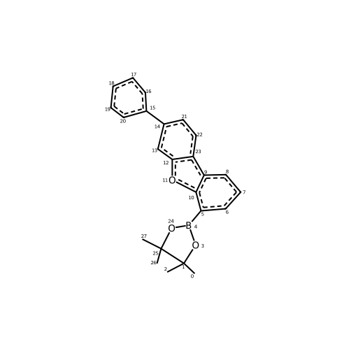 CC1(C)OB(c2cccc3c2oc2cc(-c4ccccc4)ccc23)OC1(C)C